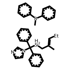 CB(c1ccccc1)c1ccccc1.CCC=C(C)C[SiH2]C(c1ccccc1)(c1ccccc1)n1ccnc1